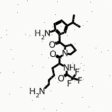 CC(C)c1ccc(N)c(C(=O)C2CCCN2C(=O)C(CCCCN)NC(=O)C(F)(F)F)c1